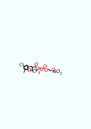 Cc1cc(Cl)cc2c1O[C@H](C(F)(F)F)C(C(=O)OCOC(=O)OCCO[N+](=O)[O-])=C2